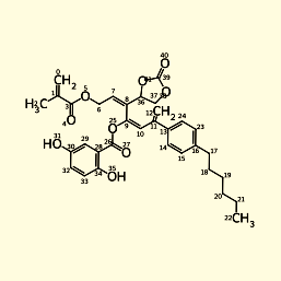 C=C(C)C(=O)OC/C=C(\C(=C/C(=C)c1ccc(CCCCCC)cc1)OC(=O)c1cc(O)ccc1O)C1COC(=O)O1